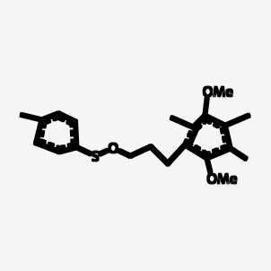 COc1c(C)c(C)c(OC)c(CCCOSc2ccc(C)cc2)c1C